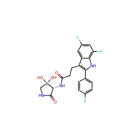 O=C(CCc1c(-c2ccc(F)cc2)[nH]c2c(F)cc(F)cc12)N[C@@H]1C(=O)NC[Si]1(O)O